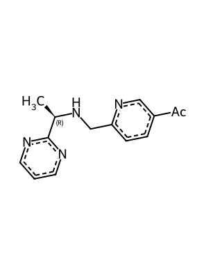 CC(=O)c1ccc(CN[C@H](C)c2ncccn2)nc1